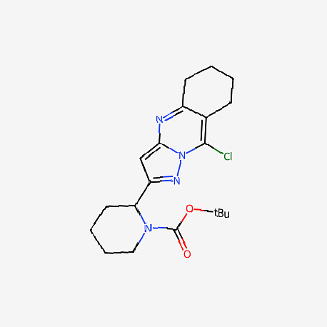 CC(C)(C)OC(=O)N1CCCCC1c1cc2nc3c(c(Cl)n2n1)CCCC3